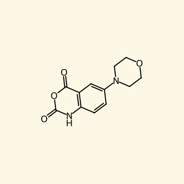 O=c1[nH]c2ccc(N3CCOCC3)cc2c(=O)o1